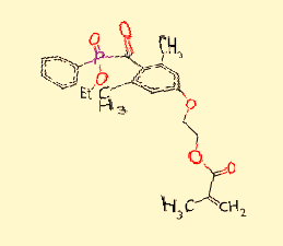 C=C(C)C(=O)OCCOc1cc(C)c(C(=O)P(=O)(OCC)c2ccccc2)c(C)c1